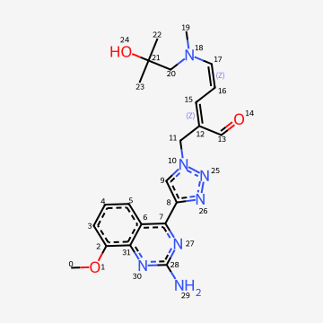 COc1cccc2c(-c3cn(C/C(C=O)=C/C=C\N(C)CC(C)(C)O)nn3)nc(N)nc12